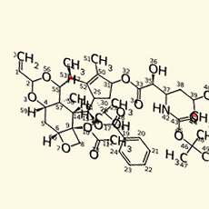 C=CC1O[C@H]2C[C@H]3OC[C@@]3(OC(C)=O)[C@H]3[C@H](OC(=O)c4ccccc4)[C@]4(C(C)(C)O)CC(OC(=O)[C@@H](O)C(CC(C)C)NC(=O)OC(C)(C)C)C(C)=C4[C@H](C)[C@H](O1)[C@]23C